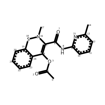 CC(=O)OC1=C(C(=O)Nc2cccc(C)n2)N(C)Sc2ccccc21